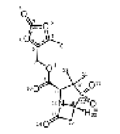 Cc1oc(=O)oc1COC(=O)[C@@H]1N2C(=O)C[C@H]2S(=O)(=O)C1(C)C